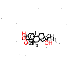 CC12CCC[C@@](C)(C(=O)O)[C@H]1CCC13C[C@](C)(CC[C@H]12)[C@](C)(O)C3